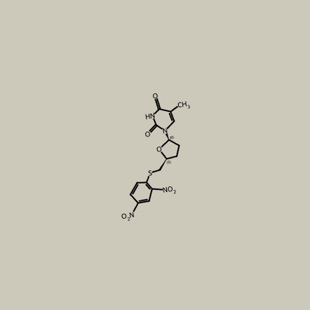 Cc1cn([C@H]2CC[C@@H](CSc3ccc([N+](=O)[O-])cc3[N+](=O)[O-])O2)c(=O)[nH]c1=O